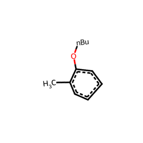 CCCCOc1ccccc1C